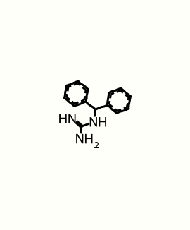 N=C(N)NC(c1ccccc1)c1ccccc1